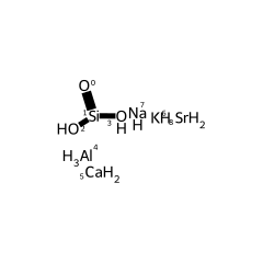 O=[Si](O)O.[AlH3].[CaH2].[KH].[NaH].[SrH2]